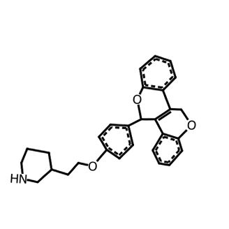 c1ccc2c(c1)OC(c1ccc(OCCC3CCCNC3)cc1)C1=C2COc2ccccc21